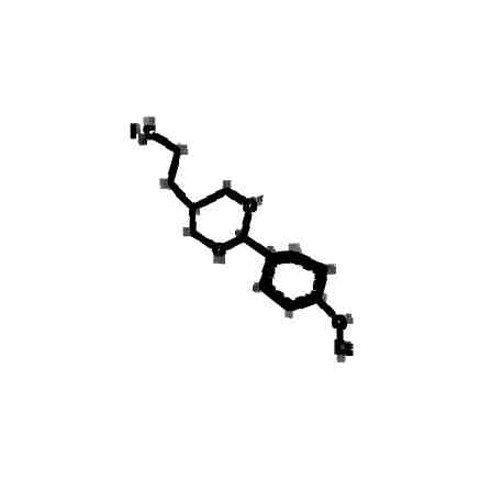 CCOc1ccc(C2OCC(CCC(F)(F)F)CO2)cc1